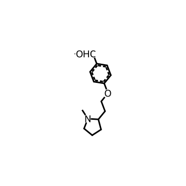 CN1CCCC1CCOc1ccc([C]=O)cc1